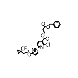 O=C(CCOC(=O)c1ccc(-n2ccc(OCCC3(C(F)(F)F)CC3)n2)nc1Cl)OCc1ccccc1